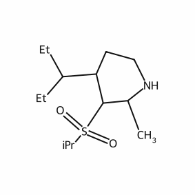 CCC(CC)C1CCNC(C)C1S(=O)(=O)C(C)C